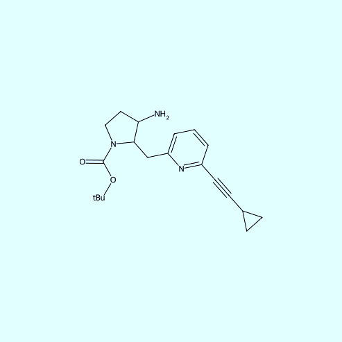 CC(C)(C)OC(=O)N1CCC(N)C1Cc1cccc(C#CC2CC2)n1